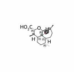 C[C@H]1[C@H](C(=O)O)O[C@@H]2O[C@@]3(C)CC[C@H]4[C@H](C)CC[C@@H]1[C@@]24OO3